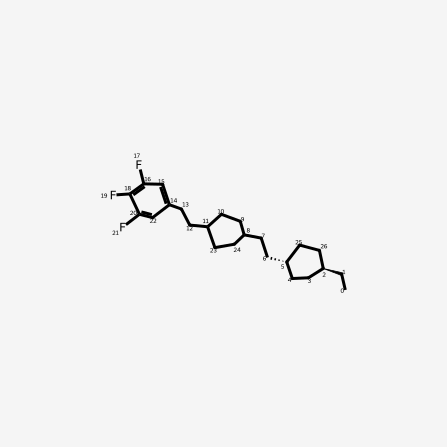 CC[C@H]1CC[C@H](CCC2CCC(CCc3cc(F)c(F)c(F)c3)CC2)CC1